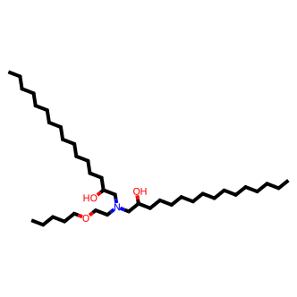 CCCCCCCCCCCCCCC(O)CN(CCOCCCCC)CC(O)CCCCCCCCCCCCCC